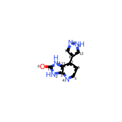 O=c1[nH]c2nccc(-c3cn[nH]c3)c2[nH]1